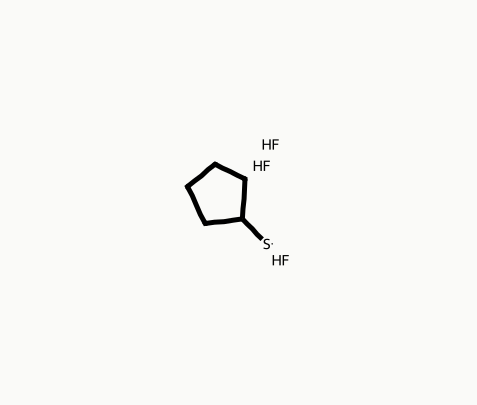 F.F.F.[S]C1CCCC1